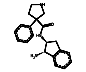 N[C@H]1c2ccccc2C[C@@H]1NC(=O)C1(c2ccccc2)CCNC1